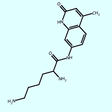 Cc1cc(=O)[nH]c2cc(NC(=O)C(N)CCCCN)ccc12